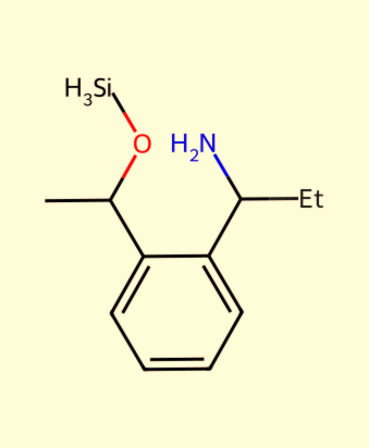 CCC(N)c1ccccc1C(C)O[SiH3]